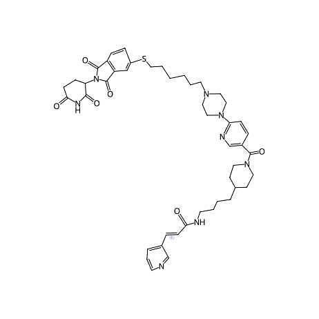 O=C(/C=C/c1cccnc1)NCCCCC1CCN(C(=O)c2ccc(N3CCN(CCCCCCSc4ccc5c(c4)C(=O)N(C4CCC(=O)NC4=O)C5=O)CC3)nc2)CC1